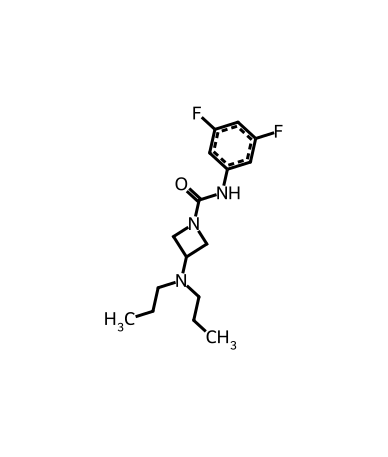 CCCN(CCC)C1CN(C(=O)Nc2cc(F)cc(F)c2)C1